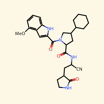 COc1cccc2[nH]c(C(=O)N3CC(C4CCCCC4)CC3C(=O)NC(C#N)CC3CCNC3=O)cc12